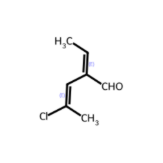 C/C=C(C=O)\C=C(/C)Cl